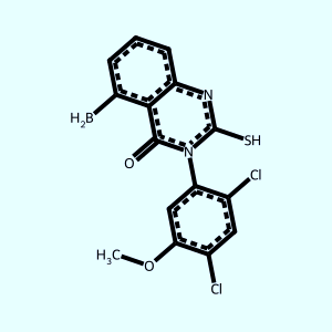 Bc1cccc2nc(S)n(-c3cc(OC)c(Cl)cc3Cl)c(=O)c12